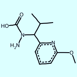 COc1cccc(C([C](C)C)N(N)C(=O)O)n1